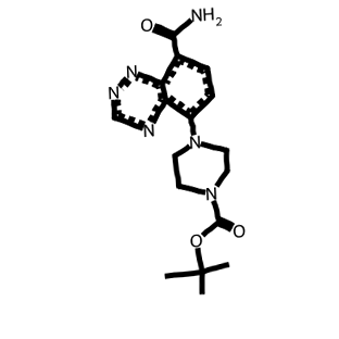 CC(C)(C)OC(=O)N1CCN(c2ccc(C(N)=O)c3nncnc23)CC1